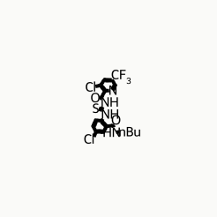 CCCCNC(=O)c1cc(Cl)ccc1NC(=S)NC(=O)c1ncc(C(F)(F)F)cc1Cl